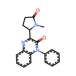 CN1C(=O)CCC1c1nc2ccccc2n(-c2ccccc2)c1=O